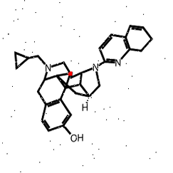 Oc1ccc2c(c1)C13CCN(CC4CC4)C(C2)C12CCC1C3[C@@H](CN1c1ccc3c(n1)CCC=C3)C2